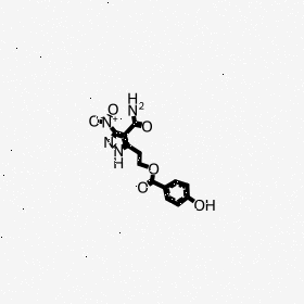 NC(=O)c1c([N+](=O)[O-])n[nH]c1CCOC(=O)c1ccc(O)cc1